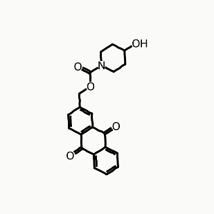 O=C1c2ccccc2C(=O)c2cc(COC(=O)N3CCC(O)CC3)ccc21